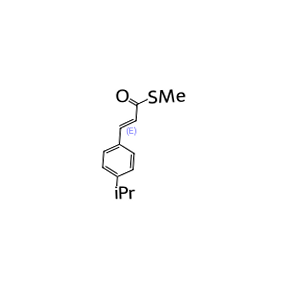 CSC(=O)/C=C/c1ccc(C(C)C)cc1